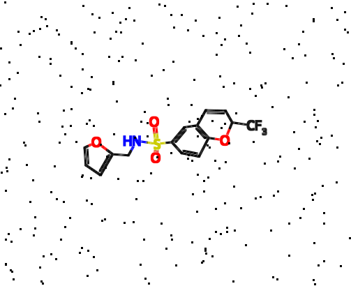 O=S(=O)(NCc1ccco1)c1ccc2c(c1)C=CC(C(F)(F)F)O2